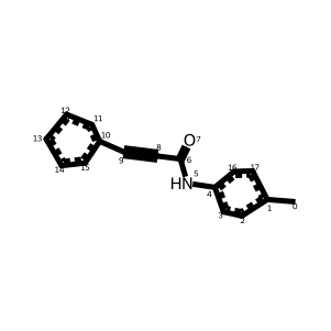 Cc1ccc(NC(=O)C#Cc2ccccc2)cc1